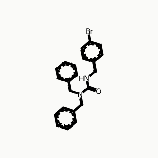 O=C(NCc1ccc(Br)cc1)N(Cc1ccccc1)Cc1ccccc1